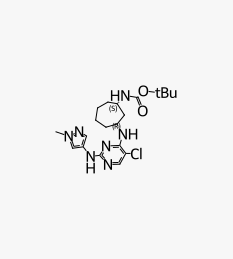 Cn1cc(Nc2ncc(Cl)c(N[C@@H]3CCCC[C@H](NC(=O)OC(C)(C)C)C3)n2)cn1